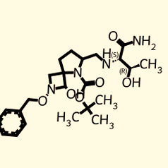 C[C@@H](O)[C@H](NCC1CCC2(CN(OCc3ccccc3)C2O)N1C(=O)OC(C)(C)C)C(N)=O